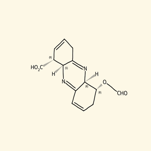 O=CO[C@@H]1CC=CC2=N[C@@H]3C(=N[C@H]21)CC=C[C@H]3C(=O)O